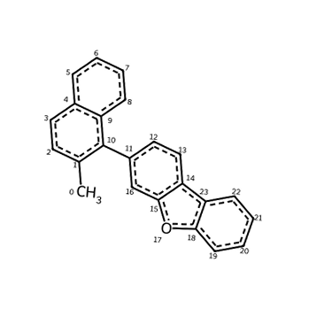 Cc1ccc2ccccc2c1-c1ccc2c(c1)oc1ccccc12